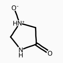 O=C1C[NH+]([O-])CN1